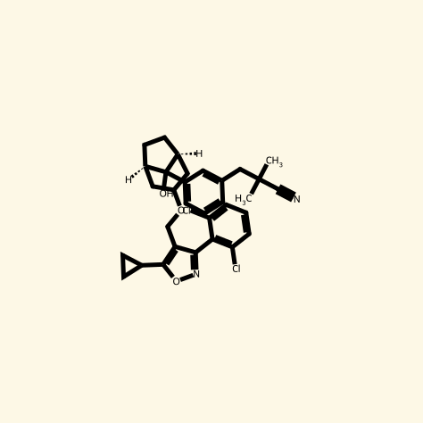 CC(C)(C#N)Cc1cccc(C2(O)[C@@H]3CC[C@H]2CC(OCc2c(-c4c(Cl)cccc4Cl)noc2C2CC2)C3)c1